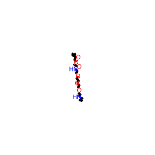 CC(C)(C)NCCOCCOCCOCCNC(=O)COCC(=O)C(C)(C)C